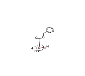 O=C(OCc1ccccc1)N1C[C@H]2CC[C@@H](C1)NC2